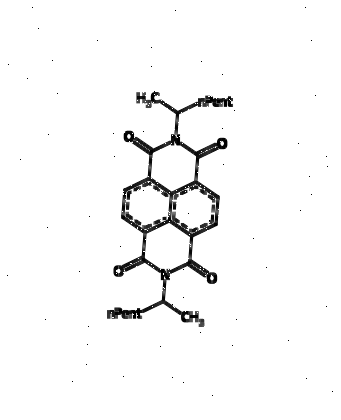 CCCCCC(C)N1C(=O)c2ccc3c4c(ccc(c24)C1=O)C(=O)N(C(C)CCCCC)C3=O